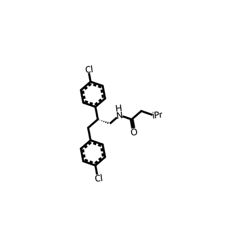 CC(C)CC(=O)NC[C@H](Cc1ccc(Cl)cc1)c1ccc(Cl)cc1